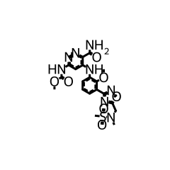 COC(=O)Nc1cc(Nc2cccc(-c3noc(CN(C)S(C)(=O)=O)n3)c2OC)c(C(N)=O)nn1